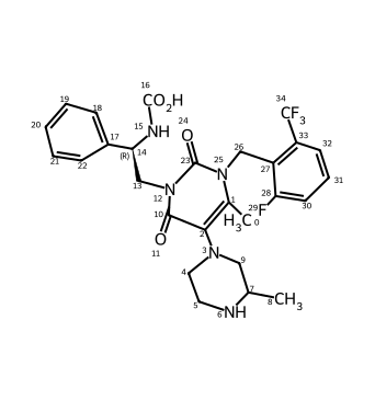 Cc1c(N2CCNC(C)C2)c(=O)n(C[C@H](NC(=O)O)c2ccccc2)c(=O)n1Cc1c(F)cccc1C(F)(F)F